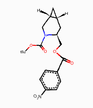 CC(C)(C)OC(=O)N1C[C@@H]2C[C@@H]2C[C@H]1COC(=O)c1ccc([N+](=O)[O-])cc1